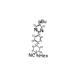 CCCCCCC1(C#N)CCC(c2ccc(-c3ncc(CCCC)cn3)cc2)CC1